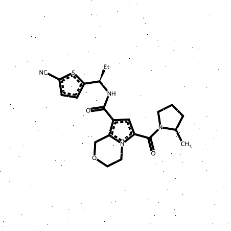 CC[C@@H](NC(=O)c1cc(C(=O)N2CCCC2C)n2c1COCC2)c1ccc(C#N)s1